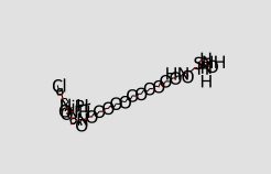 CC(C)[C@@H](NC(=O)c1cccc(C(=O)NCCOCCOCCOCCOCCOCCOCCOCCOCCOCCOCCOCCNC(=O)CCCC[C@@H]2SC[C@@H]3NC(=O)N[C@@H]32)c1)C(=O)N1CCC(c2ccc(Cl)cc2)CC1